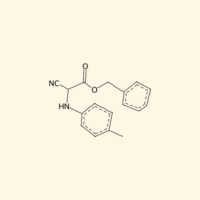 Cc1ccc(NC(C#N)C(=O)OCc2ccccc2)cc1